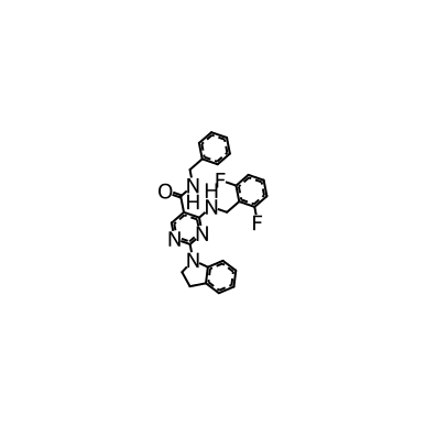 O=C(NCc1ccccc1)c1cnc(N2CCc3ccccc32)nc1NCc1c(F)cccc1F